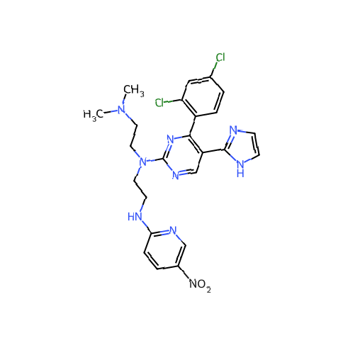 CN(C)CCN(CCNc1ccc([N+](=O)[O-])cn1)c1ncc(-c2ncc[nH]2)c(-c2ccc(Cl)cc2Cl)n1